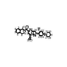 C[C@@H]1c2ccccc2CCN1C(=O)c1cc(C2CC2)n2nc(-c3ccc(N4CCCCC4)cc3F)cc2n1